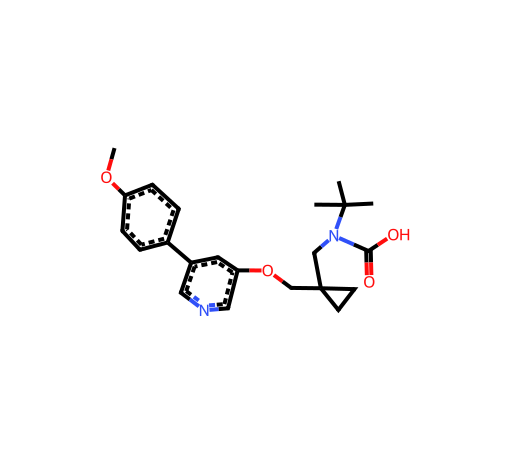 COc1ccc(-c2cncc(OCC3(CN(C(=O)O)C(C)(C)C)CC3)c2)cc1